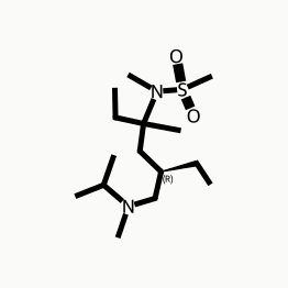 CC[C@@H](CN(C)C(C)C)CC(C)(CC)N(C)S(C)(=O)=O